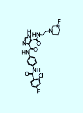 O=C(Nc1ccc(NC(=O)c2nc[nH]c2C(=O)NCCN2CCC[C@@H](F)C2)cc1)c1ccc(F)cc1Cl